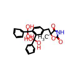 C[C@@]1(Cc2ccc(C(O)(O)c3ccccc3)c(C(O)(O)c3ccccc3)c2)OC(=O)NC1=O